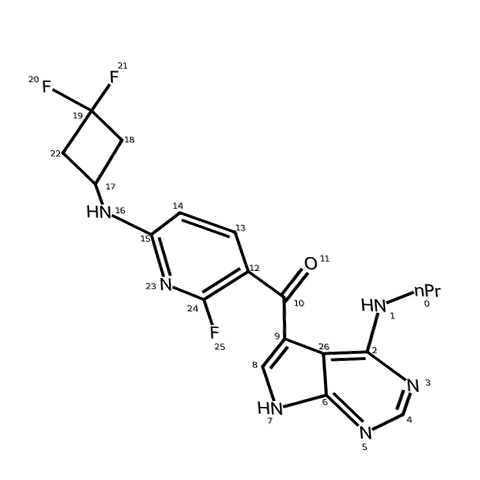 CCCNc1ncnc2[nH]cc(C(=O)c3ccc(NC4CC(F)(F)C4)nc3F)c12